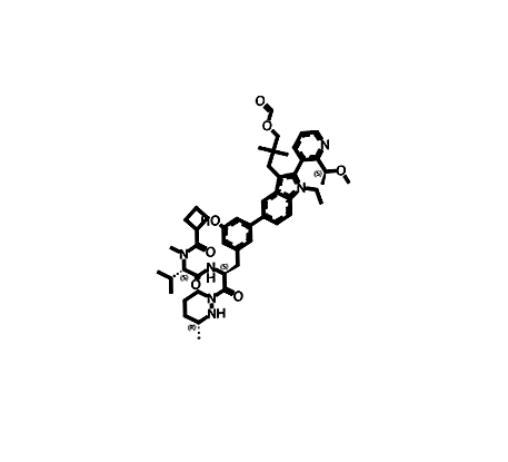 CCn1c(-c2cccnc2[C@H](C)OC)c(CC(C)(C)COC=O)c2cc(-c3cc(O)cc(C[C@H](NC(=O)[C@H](C(C)C)N(C)C(=O)C4CCC4)C(=O)N4CCC[C@@H](C)N4)c3)ccc21